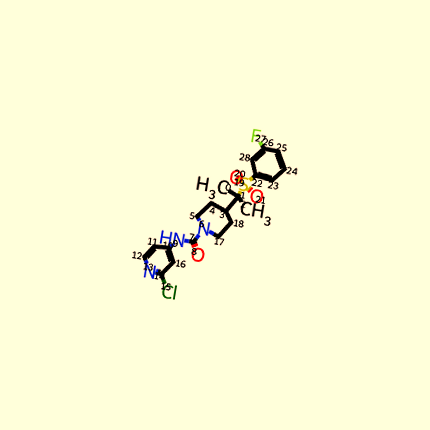 CC(C)(C1CCN(C(=O)Nc2ccnc(Cl)c2)CC1)S(=O)(=O)c1cccc(F)c1